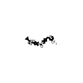 O=C(N1CC2(CC(Cc3cc(C(F)(F)F)ccn3)C2)C1)N1CC2(CC(c3nnc(C4CC4)[nH]3)C2)C1